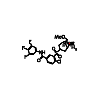 COC[C@]1(O)C2CC(S(=O)(=O)c3cc(C(=O)Nc4cc(F)c(F)c(F)c4)ccc3Cl)CC1[C@@H](C)C2